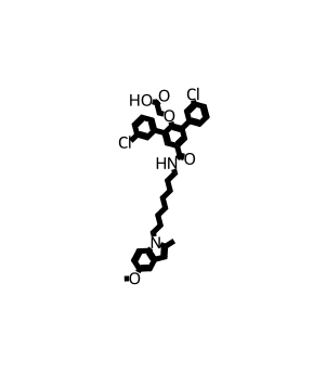 COc1ccc2c(c1)cc(C)n2CCCCCCCCNC(=O)c1cc(-c2cccc(Cl)c2)c(OCC(=O)O)c(-c2cccc(Cl)c2)c1